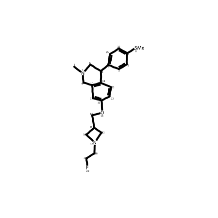 CSc1ccc(C2CN(C)Cc3cc(OCC4CN(CCF)C4)ccc32)cc1